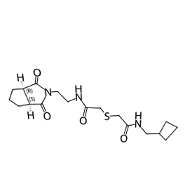 O=C(CSCC(=O)NCC1CCC1)NCCN1C(=O)[C@H]2CCC[C@H]2C1=O